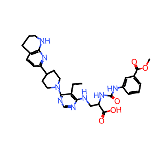 CCc1c(NCC(NC(=O)Nc2cccc(C(=O)OC)c2)C(=O)O)ncnc1N1CCC(c2ccc3c(n2)NCCC3)CC1